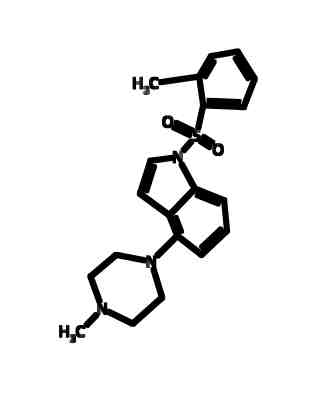 Cc1ccccc1S(=O)(=O)n1ccc2c(N3CCN(C)CC3)cccc21